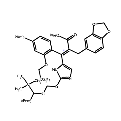 CCCCCC(OCOc1ncc(/C(=C(\Cc2ccc3c(c2)OCO3)C(=O)OC)c2ccc(OC)cc2OCC(=O)OCC)[nH]1)[Si](C)(C)C